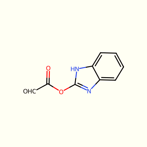 O=CC(=O)Oc1nc2ccccc2[nH]1